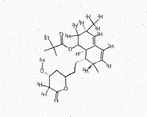 [2H]O[C@@H]1CC(CC[C@@H]2[C@@H]3C(=C([2H])[C@]([2H])(C([2H])([2H])[2H])C([2H])([2H])C3OC(=O)C(C)(C)CC)C([2H])=C([2H])[C@]2([2H])C)OC(=O)C1([2H])[2H]